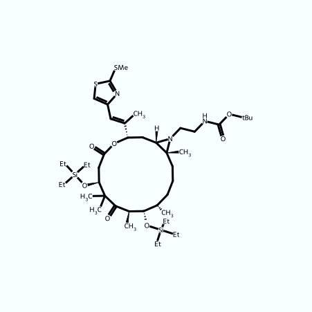 CC[Si](CC)(CC)O[C@H]1[C@@H](C)CCC[C@]2(C)[C@H](C[C@@H](/C(C)=C/c3csc(SC)n3)OC(=O)C[C@H](O[Si](CC)(CC)CC)C(C)(C)C(=O)[C@@H]1C)N2CCNC(=O)OC(C)(C)C